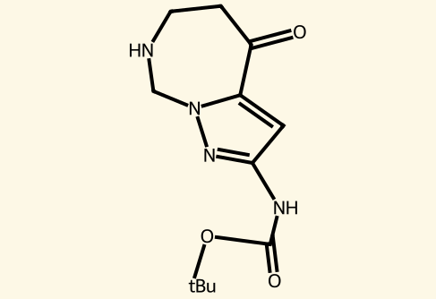 CC(C)(C)OC(=O)Nc1cc2n(n1)CNCCC2=O